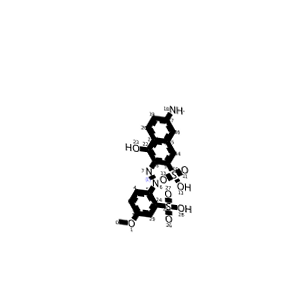 COc1ccc(/N=N/c2c(S(=O)(=O)O)cc3cc([NH])ccc3c2O)c(S(=O)(=O)O)c1